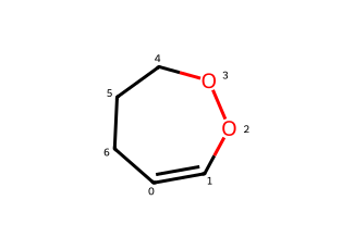 C1=COOCCC1